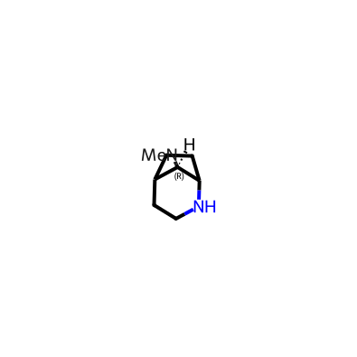 CN[C@@H]1C2CCNC1CC2